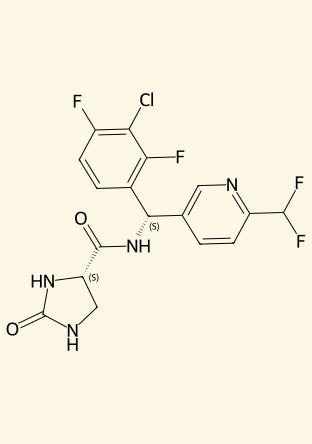 O=C1NC[C@@H](C(=O)N[C@@H](c2ccc(C(F)F)nc2)c2ccc(F)c(Cl)c2F)N1